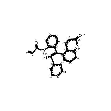 C=CC(=O)Oc1ccccc1/C(=C(\CC)c1ccccc1)c1cccc2[nH]c(=O)ccc12